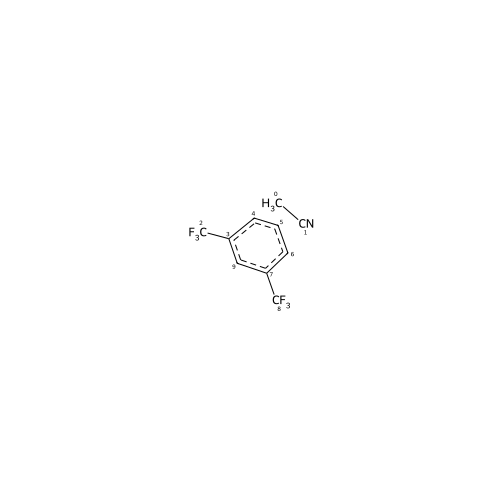 CC#N.FC(F)(F)c1cccc(C(F)(F)F)c1